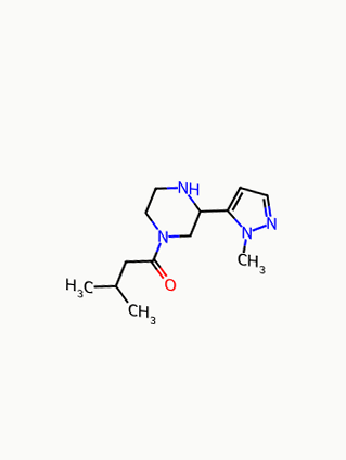 CC(C)CC(=O)N1CCNC(c2ccnn2C)C1